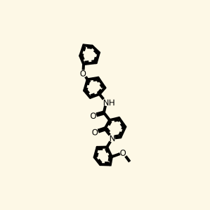 COc1ccccc1-n1cccc(C(=O)Nc2ccc(Oc3ccccc3)cc2)c1=O